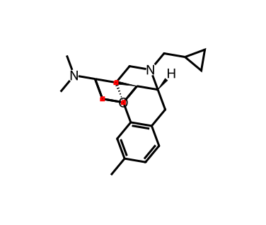 Cc1ccc2c(c1)[C@]13CCN(CC4CC4)[C@H](C2)[C@]12CCC(N(C)C)(CO2)C3